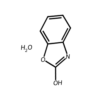 O.Oc1nc2ccccc2o1